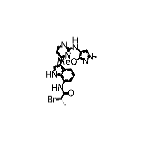 COc1nn(C)cc1Nc1nccc(-c2c[nH]c3c(NC(=O)[C@H](C)Br)cccc23)n1